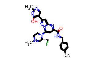 Cc1ncc(-c2cc3nc(C(=O)NCc4ccc(C#N)cc4)cc(N4CCN(C)C[C@H]4CF)n3n2)c(O)n1